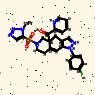 CCCn1nncc1S(=O)(=O)N1CCC2=Cc3c(cnn3-c3ccc(F)cc3)CC2(C(=O)c2ccccn2)C1